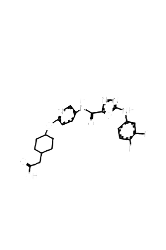 O=C(O)CC1CCC(Oc2ccc(NC(=O)c3nnc(Nc4ccc(F)c(F)c4)o3)cn2)CC1